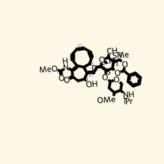 COC(=O)NC1=C2C#C/C=C\C#C[C@H](OC3OC(C)C4(SC)COC(c5ccccc5)OC4C3OC3CC(OC)C(NC(C)C)CO3)C2/C(=C\CS(C)=S)[C@@H](O)CC1=O